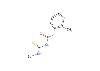 CCNC(=S)NC(=O)Cc1ccccc1C